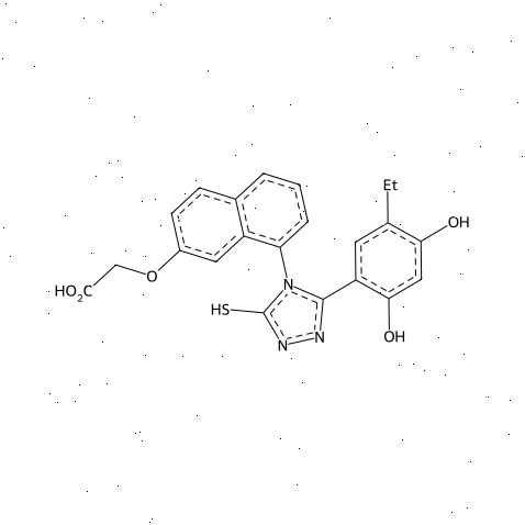 CCc1cc(-c2nnc(S)n2-c2cccc3ccc(OCC(=O)O)cc23)c(O)cc1O